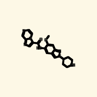 COc1cc2nn(C3CCNCC3)cc2cc1NC(=O)c1cnc2cnccn12